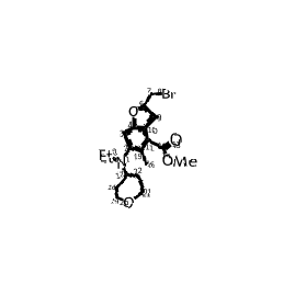 CCN(c1cc2oc(CBr)cc2c(C(=O)OC)c1C)C1CCOCC1